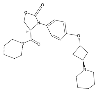 O=C([C@@H]1COC(=O)N1c1ccc(O[C@H]2C[C@H](N3CCCCC3)C2)cc1)N1CCCCC1